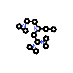 c1ccc(-c2ccc(-c3cc(-c4cccc(-c5cccc(-n6c7ccccc7c7ccccc76)c5)c4)nc(-c4cccc(-c5cc(-n6c7ccccc7c7ccccc76)cc(-n6c7ccccc7c7ccccc76)c5)c4)c3)cc2)cc1